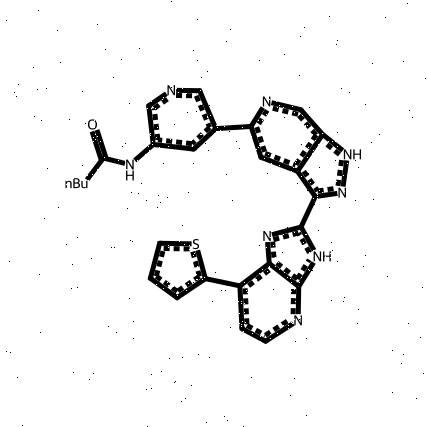 CCCCC(=O)Nc1cncc(-c2cc3c(-c4nc5c(-c6cccs6)ccnc5[nH]4)n[nH]c3cn2)c1